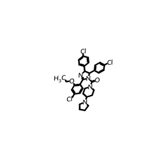 CCOc1cc(Cl)ccc1C1=NC(c2ccc(Cl)cc2)C(c2ccc(Cl)cc2)N1C(=O)N1CCC(N2CCCC2)CC1